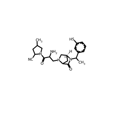 CC1CC(C#N)N(C(=O)C(N)CN2C[C@@H]3CC2C(=O)N3C(C)c2cccc(S)c2)C1